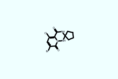 O=C1NC2(CCCC2)Nn2c1c(Cl)cc(Br)c2=O